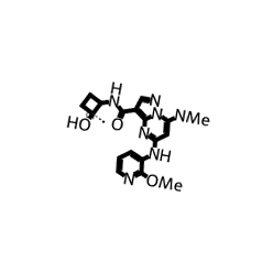 CNc1cc(Nc2cccnc2OC)nc2c(C(=O)NC3CC[C@]3(C)O)cnn12